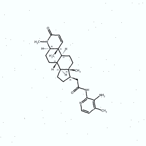 Cc1ccnc(NC(=O)C[C@H]2CC[C@H]3[C@@H]4CC[C@H]5N(C)C(=O)C=C[C@]5(C)[C@H]4CC[C@]23C)c1N